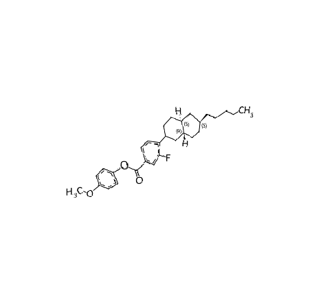 CCCCC[C@H]1CC[C@@H]2CC(c3ccc(C(=O)Oc4ccc(OC)cc4)cc3F)CC[C@H]2C1